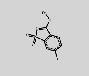 CCOC1=NS(=O)(=O)c2cc(I)ccc21